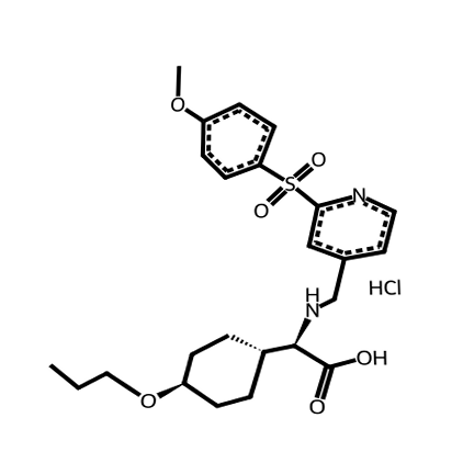 CCCO[C@H]1CC[C@H]([C@@H](NCc2ccnc(S(=O)(=O)c3ccc(OC)cc3)c2)C(=O)O)CC1.Cl